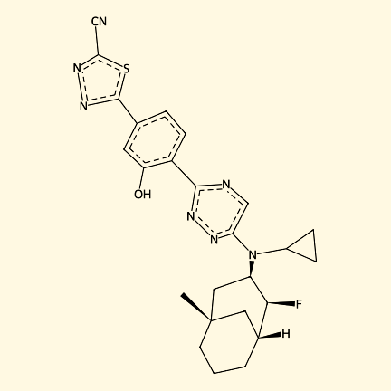 C[C@]12CCC[C@H](C1)[C@H](F)[C@H](N(c1cnc(-c3ccc(-c4nnc(C#N)s4)cc3O)nn1)C1CC1)C2